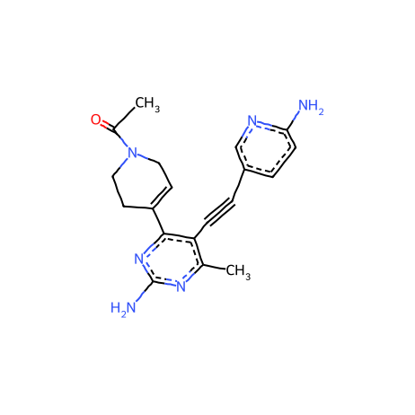 CC(=O)N1CC=C(c2nc(N)nc(C)c2C#Cc2ccc(N)nc2)CC1